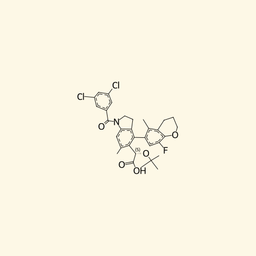 Cc1cc2c(c(-c3cc(F)c4c(c3C)CCCO4)c1[C@H](OC(C)(C)C)C(=O)O)CCN2C(=O)c1cc(Cl)cc(Cl)c1